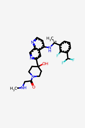 CNCC(=O)N1CCC(O)(c2cc3c(N[C@H](C)c4cccc(C(F)F)c4F)ccnc3cn2)CC1